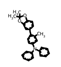 Cc1cc(N(c2ccccc2)c2ccccc2)ccc1-c1ccc2c(c1)OC(C)(C)O2